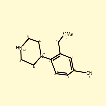 COCc1cc(C#N)ccc1N1CCNCC1